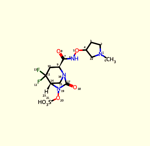 CN1CCC(ONC(=O)[C@@H]2CC(F)(F)[C@@H]3CN2C(=O)N3OS(=O)(=O)O)C1